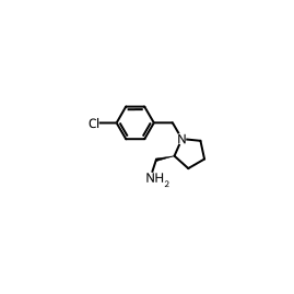 NC[C@@H]1CCCN1Cc1ccc(Cl)cc1